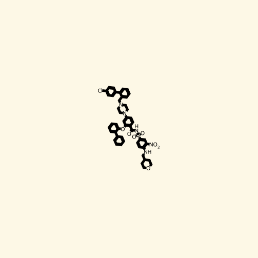 O=C(NS(=O)(=O)c1ccc(NCC2CCOCC2)c([N+](=O)[O-])c1)c1ccc(N2CCN(Cc3ccccc3-c3ccc(Cl)cc3)CC2)cc1Oc1ccccc1-c1ccccc1